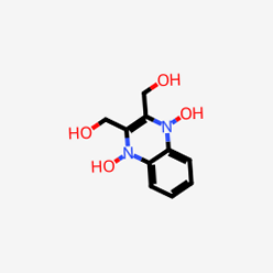 OCC1=C(CO)N(O)c2ccccc2N1O